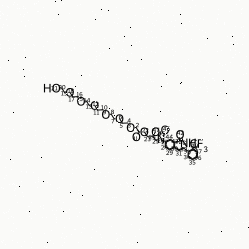 O=C(COCCOCCOCCOCCOCCOCCO)OC[C@@H]1CN(c2ccc3cc(-c4ccccc4C(F)(F)F)[nH]c(=O)c3c2)C(=O)O1